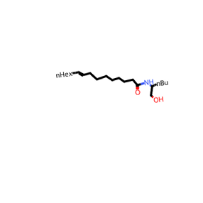 CCCCCCC=CCCCCCCCC(=O)NC(CO)CCCC